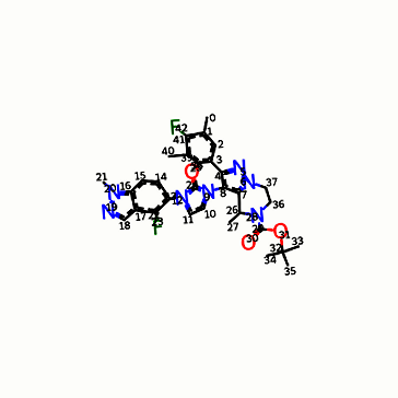 Cc1cc(-c2nn3c(c2-n2ccn(-c4ccc5c(cnn5C)c4F)c2=O)C(C)N(C(=O)OC(C)(C)C)CC3)cc(C)c1F